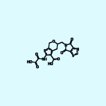 O=C(O)C(=O)Nc1sc2c(c1C(=O)O)CC(CN1C(=O)c3ncsc3C1=O)OC2